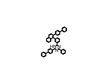 c1ccc(C2=NC(c3cccc(-c4c(-c5ccc(-c6ccccc6)cc5)ccc5ccccc45)c3)NC(c3ccc(-c4ccccc4)cc3)=N2)cc1